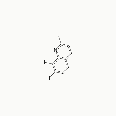 Cc1ccc2ccc(I)c(I)c2n1